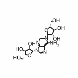 NC1=c2ncn([C@@H]3O[C@H](CO)[C@@H](O)[C@H]3O)c2=NCN1[C@@H]1O[C@H](CO)[C@@H](O)[C@@H]1O